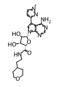 Cn1ccc(-c2cn([C@@H]3O[C@H](C(=O)NCCC4CCOCC4)[C@@H](O)[C@H]3O)c3ncnc(N)c23)n1